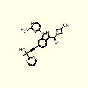 CC(O)(C#Cc1ccc2c(C(=O)N3CC(C#N)C3)nn(-c3ccnc(N)n3)c2c1)c1ncccn1